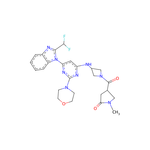 CN1CC(C(=O)N2CC(Nc3cc(-n4c(C(F)F)nc5ccccc54)nc(N4CCOCC4)n3)C2)CC1=O